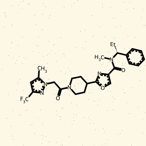 CC[C@H](c1ccccc1)N(C)C(=O)c1coc(C2CCN(C(=O)Cn3nc(C(F)(F)F)cc3C)CC2)n1